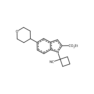 CCOC(=O)c1cc2cc(C3CCOCC3)ccc2n1C1(C#N)CCC1